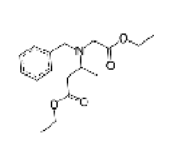 CCOC(=O)CC(C)N(CC(=O)OCC)Cc1ccccc1